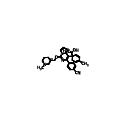 CC1=CCC(c2c(-c3ccc(C#N)cc3)nc(OC[C@@H]3CCCN(C)C3)n3ccnc23)(C(C)O)C=C1